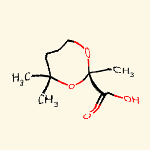 CC1(C)CCOC(C)(C(=O)O)O1